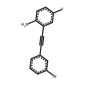 Nc1ccc(F)cc1C#Cc1cccc(Br)c1